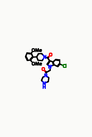 COc1cccc(OC)c1C1CCN(C(=O)c2cn(CC(=O)N3CCNCC3)c3cc(Cl)ccc23)CC1